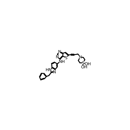 OS1(O)CCN(CC#Cc2cc3ncnc(Nc4ccc5[nH]c(Cc6ccccc6)nc5c4)c3s2)CC1